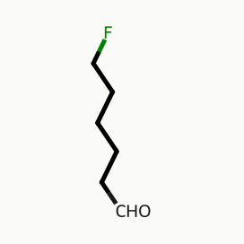 O=CCCCCCF